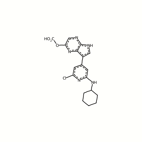 O=C(O)Oc1cnc2[nH]cc(-c3cc(Cl)nc(NC4CCCCC4)c3)c2n1